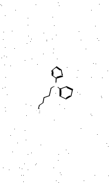 NCCCCCP(c1ccccc1)c1ccccc1